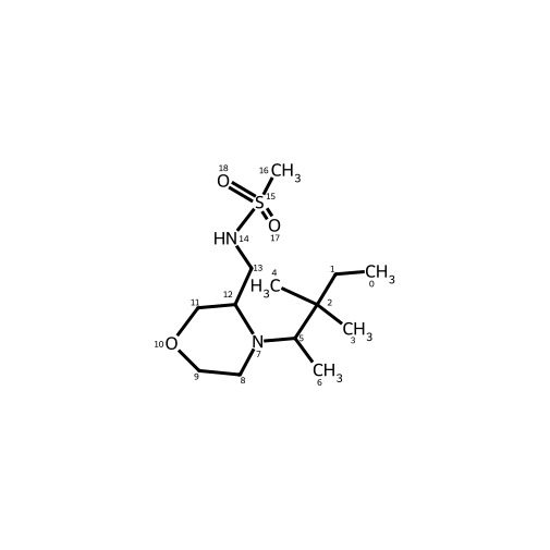 CCC(C)(C)C(C)N1CCOCC1CNS(C)(=O)=O